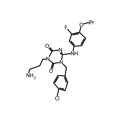 CC(C)Oc1ccc(Nc2nc(=O)n(CCCN)c(=O)n2Cc2ccc(Cl)cc2)cc1F